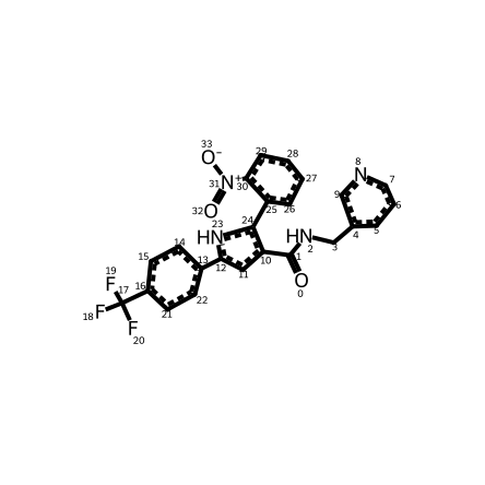 O=C(NCc1cccnc1)c1cc(-c2ccc(C(F)(F)F)cc2)[nH]c1-c1ccccc1[N+](=O)[O-]